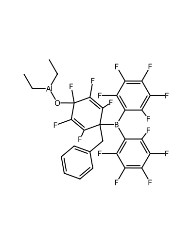 C[CH2][Al]([CH2]C)[O]C1(F)C(F)=C(F)C(Cc2ccccc2)(B(c2c(F)c(F)c(F)c(F)c2F)c2c(F)c(F)c(F)c(F)c2F)C(F)=C1F